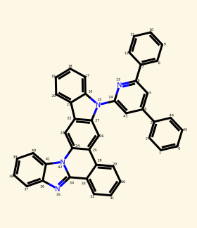 c1ccc(-c2cc(-c3ccccc3)nc(-n3c4ccccc4c4cc5c(cc43)c3ccccc3c3nc4ccccc4n53)c2)cc1